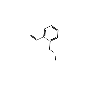 C=Cc1ccccc1COP